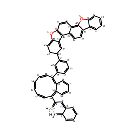 C=C(/C=c1/ccccc1=C)c1ccccccc(-c2cccc(C3C=c4c(oc5ccc6c(ccc7c8ccccc8oc76)c45)=CC3)c2)c2ccccc12